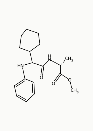 COC(=O)[C@@H](C)NC(=O)C(Nc1ccccc1)C1CCCCC1